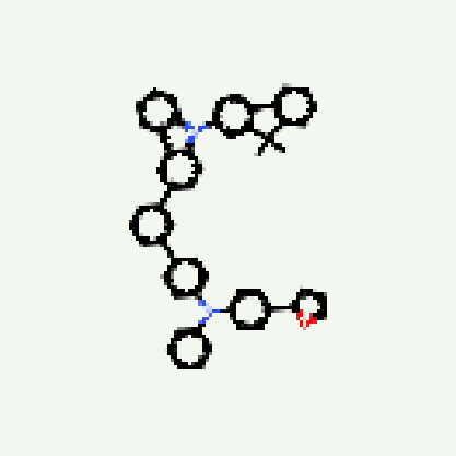 CC1(C)c2ccccc2-c2ccc(-n3c4ccccc4c4cc(-c5cccc(-c6ccc(N(c7ccccc7)c7ccc(-c8ccco8)cc7)cc6)c5)ccc43)cc21